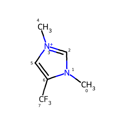 Cn1c[n+](C)cc1C(F)(F)F